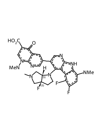 CNc1cc(F)c(F)c2c1[nH]c1ncc(-c3cnc4c(c3)c(=O)c(C(=O)O)cn4NC)c(N3CC[C@]4(F)CN(C)C[C@H]34)c12